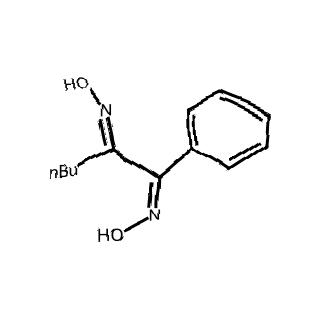 CCCCC(=NO)C(=NO)c1ccccc1